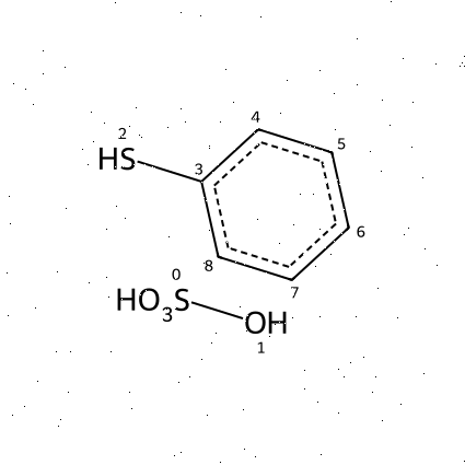 O=S(=O)(O)O.Sc1ccccc1